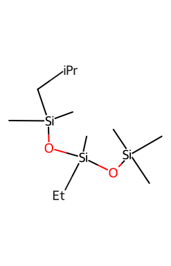 CC[Si](C)(O[Si](C)(C)C)O[Si](C)(C)CC(C)C